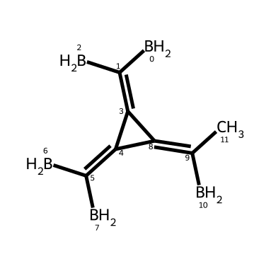 BC(B)=C1C(=C(B)B)C1=C(B)C